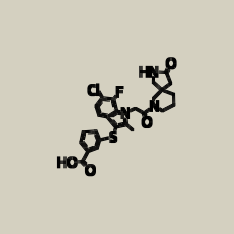 Cc1c(Sc2cccc(C(=O)O)c2)c2ccc(Cl)c(F)c2n1CC(=O)N1CCCC2(CNC(=O)C2)C1